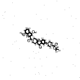 COc1cc(C(=O)N2CCC3(CC2)CC(=O)c2cc(N4CCN(C(=O)OC(C)(C)C)CC4)ccc2O3)nc2c(OC)cccc12